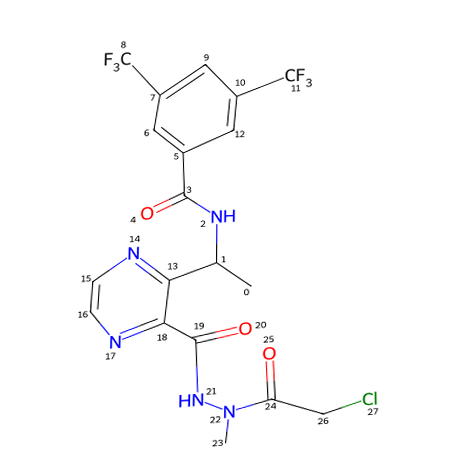 CC(NC(=O)c1cc(C(F)(F)F)cc(C(F)(F)F)c1)c1nccnc1C(=O)NN(C)C(=O)CCl